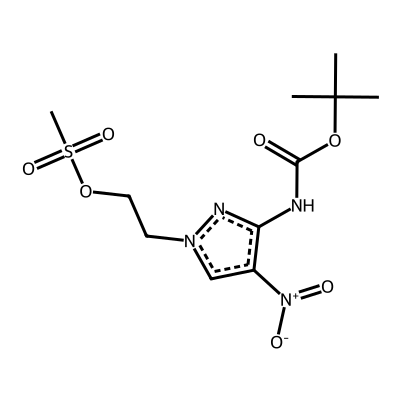 CC(C)(C)OC(=O)Nc1nn(CCOS(C)(=O)=O)cc1[N+](=O)[O-]